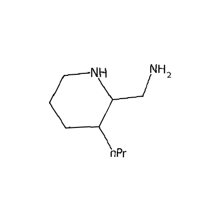 CCCC1CCCNC1CN